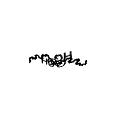 CC/C=C\C/C=C\C/C=C\C/C=C\C/C=C\C/C=C\CCC(=O)OC[C@H](CO)OC(=O)CC/C=C\C/C=C\C/C=C\C/C=C\C/C=C\C/C=C\CC.CCO